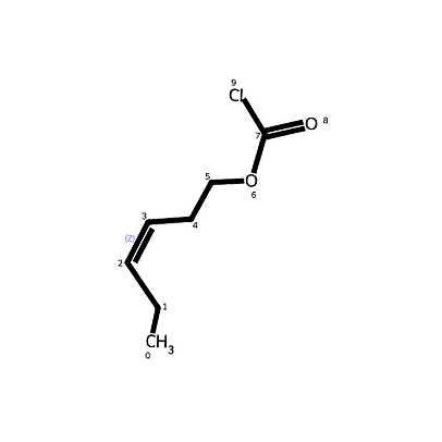 CC/C=C\CCOC(=O)Cl